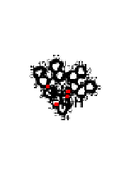 OCCOc1ccc2ccccc2c1-c1c(OCC2(COc3ccc4ccccc4c3-c3c(OCCO)ccc4ccccc34)c3ccccc3Sc3ccccc32)ccc2ccccc12